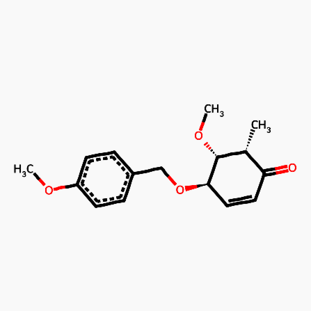 COc1ccc(CO[C@@H]2C=CC(=O)[C@@H](C)[C@H]2OC)cc1